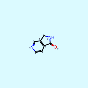 O=C1NCc2cnccc21